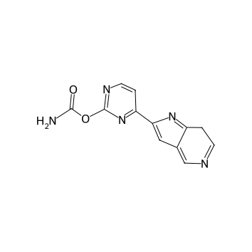 NC(=O)Oc1nccc(C2=CC3=CN=CCC3=N2)n1